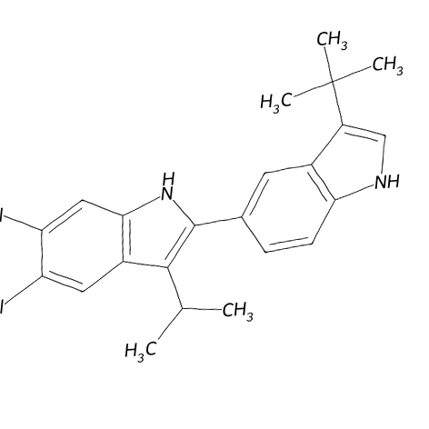 CC(C)c1c(-c2ccc3[nH]cc(C(C)(C)C)c3c2)[nH]c2cc(Cl)c(Cl)cc12